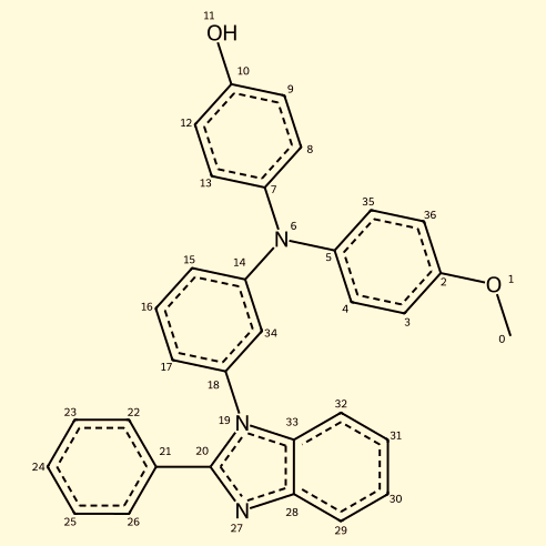 COc1ccc(N(c2ccc(O)cc2)c2cccc(-n3c(-c4ccccc4)nc4ccccc43)c2)cc1